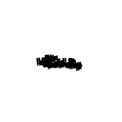 Cc1c(C(=O)O)c(-c2cccc(N3CCN(c4ccc(NSc5ccc(NSc6ccccc6)c([N+](=O)[O-])c5)cc4F)CC3)c2)c(-c2ccc(Cl)cc2)n1C